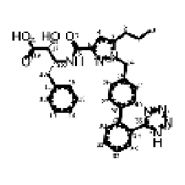 CCCc1cc(C(=O)N[C@H](Cc2ccccc2)[C@@H](O)C(=O)O)nn1Cc1ccc(-c2ccccc2-c2nnn[nH]2)cc1